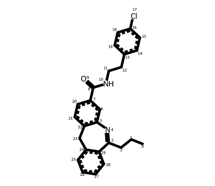 CCCC1=Nc2cc(C(=O)NCCc3ccc(Cl)cc3)ccc2Cc2ccccc21